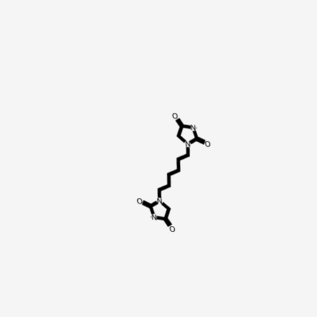 O=C1CN(CCCCCCN2CC(=O)[N]C2=O)C(=O)[N]1